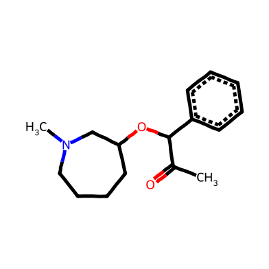 CC(=O)C(OC1CCCCN(C)C1)c1ccccc1